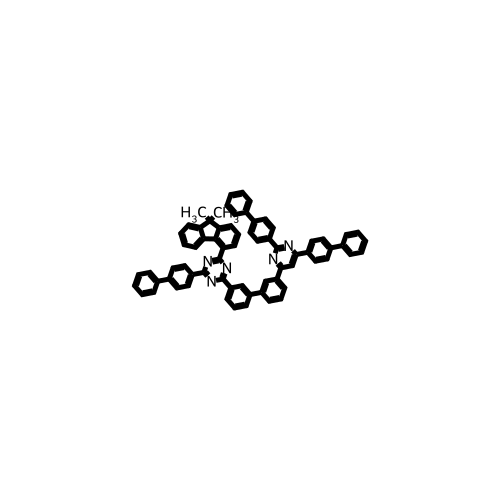 CC1(C)c2ccccc2-c2c(-c3nc(-c4ccc(-c5ccccc5)cc4)nc(-c4cccc(-c5cccc(-c6cc(-c7ccc(-c8ccccc8)cc7)nc(-c7ccc(-c8ccccc8)cc7)n6)c5)c4)n3)cccc21